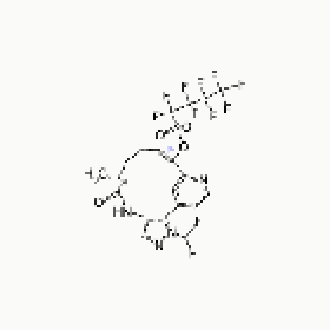 C[C@@H]1CC/C=C(/OS(=O)(=O)C(F)(F)C(F)(F)C(F)(F)C(F)(F)F)c2cc(ccn2)-c2c(cnn2C(F)F)NC1=O